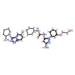 C[C@H]1CCCCN1c1nnc2ccc(O[C@H]3CC[C@H](NC(=O)Nc4cc(C(C)(C)C)nn4-c4cccc(OCCO)c4)CC3)cn12